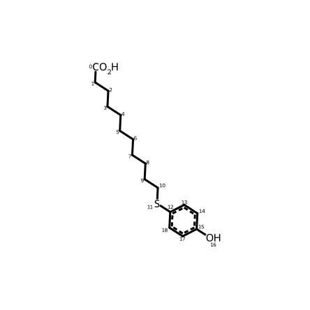 O=C(O)CCCCCCCCCCSc1ccc(O)cc1